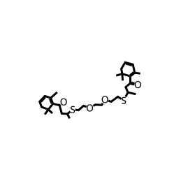 CC1=C(C(=O)CC(C)SCCOCCOCCSC(C)CC(=O)C2=C(C)C=CCC2(C)C)C(C)(C)CC=C1